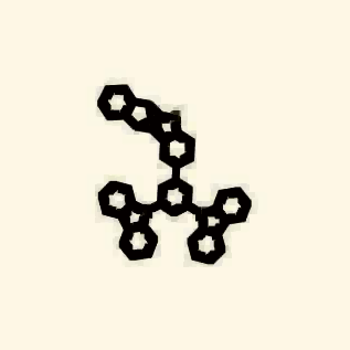 CC1(C)C2c3ccccc3C1c1c2sc2ccc(-c3cc(-n4c5ccccc5c5ccccc54)cc(-n4c5ccccc5c5ccccc54)c3)cc12